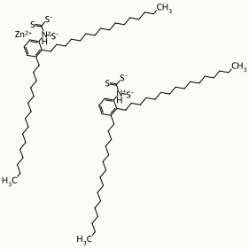 CCCCCCCCCCCCCCCCc1cccc([NH+]([S-])C(=S)[S-])c1CCCCCCCCCCCCCCCC.CCCCCCCCCCCCCCCCc1cccc([NH+]([S-])C(=S)[S-])c1CCCCCCCCCCCCCCCC.[Zn+2]